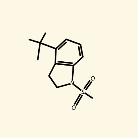 CC(C)(C)c1cccc2c1CCN2S(C)(=O)=O